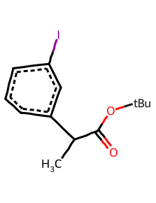 CC(C(=O)OC(C)(C)C)c1cccc(I)c1